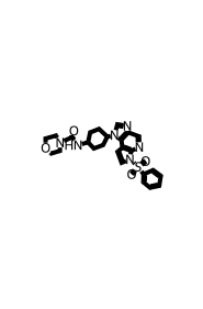 O=C(NC1CCC(n2cnc3cnc4c(ccn4S(=O)(=O)c4ccccc4)c32)CC1)N1CCOCC1